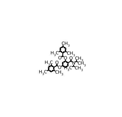 Cc1cc(C)c(C(=O)Oc2ccc(C(=O)N(C(C)C)C(C)C)c(OC(=O)c3c(C)cc(C)cc3C)c2)c(C)c1